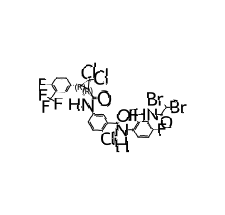 O=C(Nc1ccc(F)c(NC(=O)C(Br)Br)c1F)c1cc(NC(=O)[C@H]2[C@H](c3ccc(F)c(C(F)(F)F)c3)C2(Cl)Cl)ccc1Cl